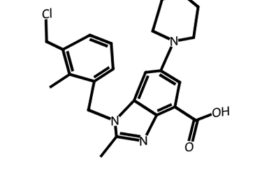 Cc1c(CCl)cccc1Cn1c(C)nc2c(C(=O)O)cc(N3CCOCC3)cc21